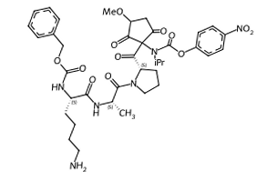 COC1CC(=O)C(C(=O)[C@@H]2CCCN2C(=O)[C@H](C)NC(=O)[C@H](CCCCN)NC(=O)OCc2ccccc2)(N(C(=O)Oc2ccc([N+](=O)[O-])cc2)C(C)C)C1=O